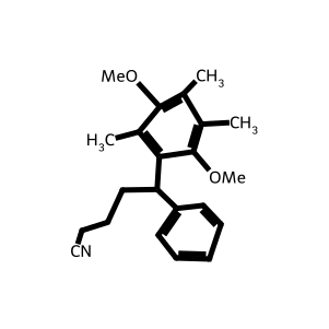 COc1c(C)c(C)c(OC)c(C(CCCC#N)c2ccccc2)c1C